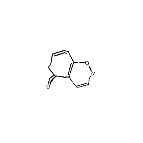 O=C1CC=CC2=C1C=COO2